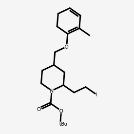 CC1=C(OCC2CCN(C(=O)OC(C)(C)C)C(CCI)C2)CCC=C1